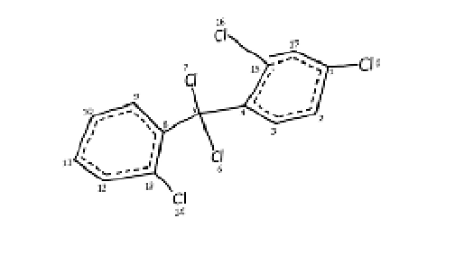 Clc1ccc(C(Cl)(Cl)c2ccccc2Cl)c(Cl)c1